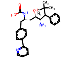 CC(C)(C)C(c1ccccc1)[C@H](N)[C@@H](O)C[C@H](Cc1ccc(-c2ccccn2)cc1)NC(=O)O